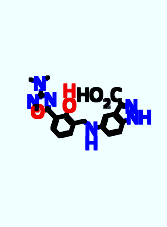 CN(C)c1noc(-c2cccc(CNc3ccc4[nH]nc(C(=O)O)c4c3)c2O)n1